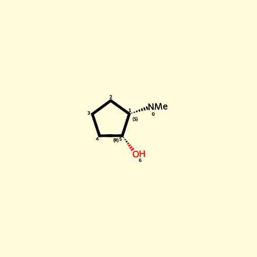 CN[C@H]1CCC[C@H]1O